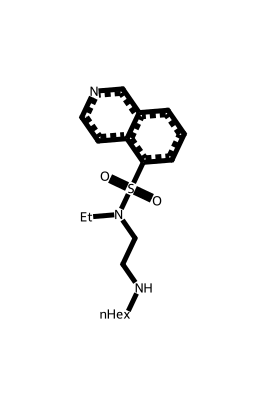 CCCCCCNCCN(CC)S(=O)(=O)c1cccc2cnccc12